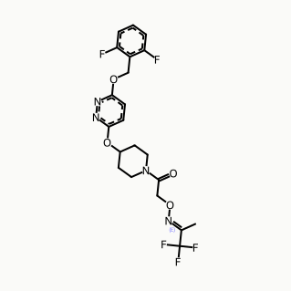 C/C(=N\OCC(=O)N1CCC(Oc2ccc(OCc3c(F)cccc3F)nn2)CC1)C(F)(F)F